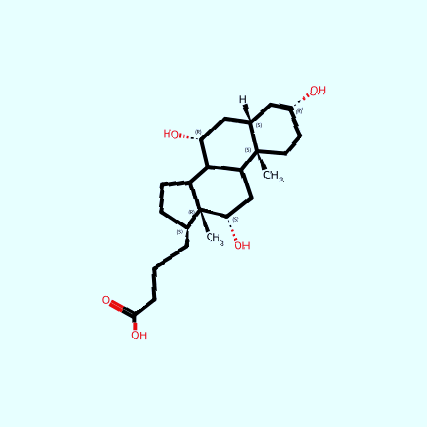 C[C@]12C(CC[C@@H]1CCCC(=O)O)C1C(C[C@@H]2O)[C@@]2(C)CC[C@@H](O)C[C@H]2C[C@H]1O